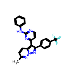 Cc1ccc2c(-c3ccnc(Nc4ccccc4)n3)c(-c3ccc(C(F)(F)F)cc3)nn2n1